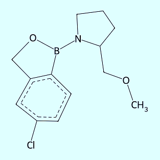 COCC1CCCN1B1OCc2cc(Cl)ccc21